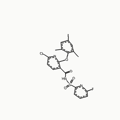 Cc1cc(C)c(Oc2nc(Cl)ccc2C(=O)NS(=O)(=O)c2cccc(F)n2)c(C)c1